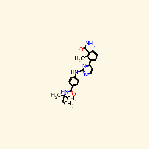 CCC(C)(C)NC(=O)c1ccc(Nc2nccc(-c3cccc(C(N)=O)c3C)n2)cc1